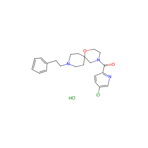 Cl.O=C(c1ccc(Cl)cn1)N1CCOC2(CCN(CCc3ccccc3)CC2)C1